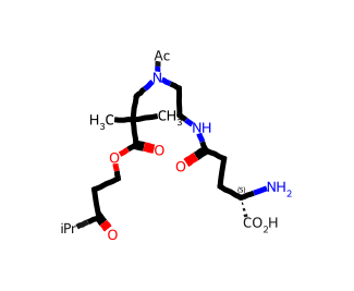 CC(=O)N(CCNC(=O)CC[C@H](N)C(=O)O)CC(C)(C)C(=O)OCCC(=O)C(C)C